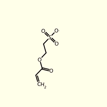 C=CC(=O)OCCS([O])(=O)=O